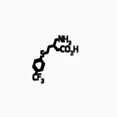 NCC(CCSc1ccc(C(F)(F)F)cc1)CC(=O)O